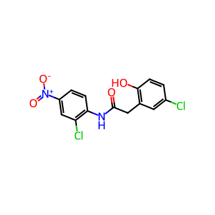 O=C(Cc1cc(Cl)ccc1O)Nc1ccc([N+](=O)[O-])cc1Cl